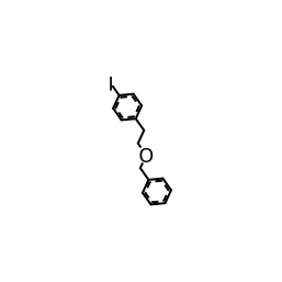 Ic1ccc(CCOCc2ccccc2)cc1